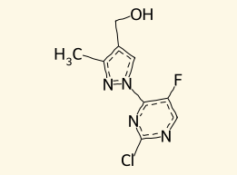 Cc1nn(-c2nc(Cl)ncc2F)cc1CO